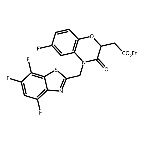 CCOC(=O)CC1Oc2ccc(F)cc2N(Cc2nc3c(F)cc(F)c(F)c3s2)C1=O